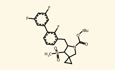 CC(C)(C)OC(=O)N1CC2(CC2)C(S(C)(=O)=O)C1Cc1cccc(-c2cc(F)cc(F)c2)c1F